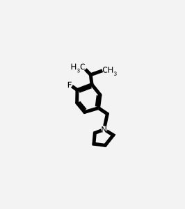 CC(C)c1cc(CN2CCCC2)ccc1F